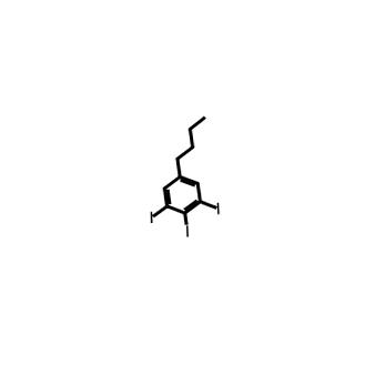 CCCCc1cc(I)c(I)c(I)c1